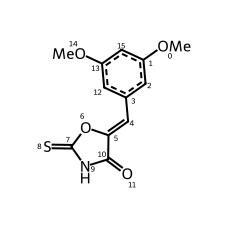 COc1cc(/C=C2\OC(=S)NC2=O)cc(OC)c1